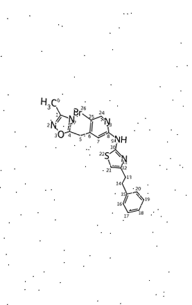 Cc1noc(Cc2cc(Nc3nc(CCc4ccccc4)cs3)ncc2Br)n1